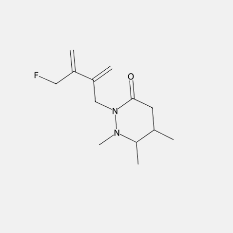 C=C(CF)C(=C)CN1C(=O)CC(C)C(C)N1C